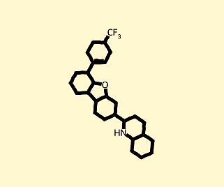 FC(F)(F)C1CC=C(C2CCCC3C4CCC(C5CCC6CCCCC6N5)CC4OC23)CC1